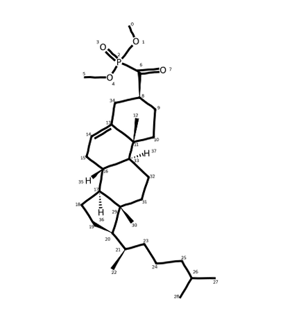 COP(=O)(OC)C(=O)[C@H]1CC[C@@]2(C)C(=CC[C@H]3[C@@H]4CC[C@H]([C@H](C)CCCC(C)C)[C@@]4(C)CC[C@@H]32)C1